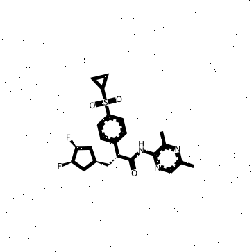 Cc1cnc(NC(=O)[C@H](C[C@H]2C[C@@H](F)[C@@H](F)C2)c2ccc(S(=O)(=O)C3CC3)cc2)c(C)n1